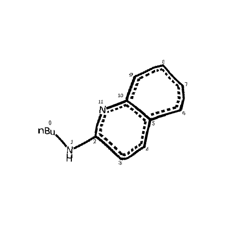 CCCCNc1ccc2ccccc2n1